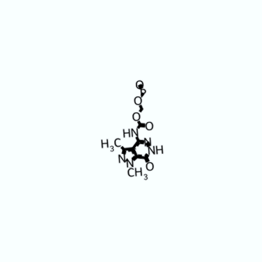 Cc1nn(C)c2c(=O)[nH]nc(NC(=O)OCOP=O)c12